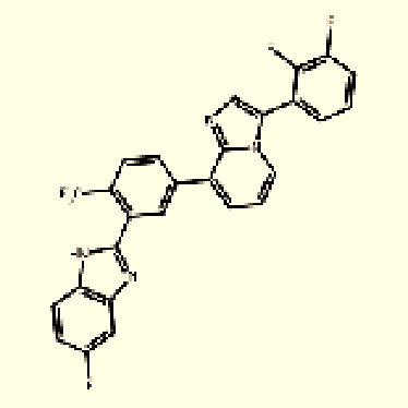 Fc1ccc2[nH]c(-c3cc(-c4cccn5c(-c6cccc(F)c6F)cnc45)ccc3C(F)(F)F)nc2c1